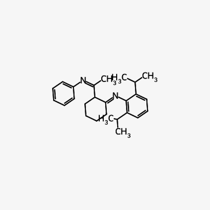 CC(=Nc1ccccc1)C1CCCCC1=Nc1c(C(C)C)cccc1C(C)C